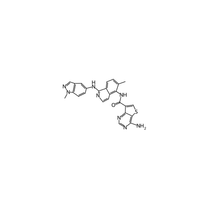 Cc1ccc2c(Nc3ccc4c(cnn4C)c3)nccc2c1NC(=O)c1csc2c(N)ncnc12